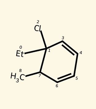 CCC1(Cl)C=CC=CC1C